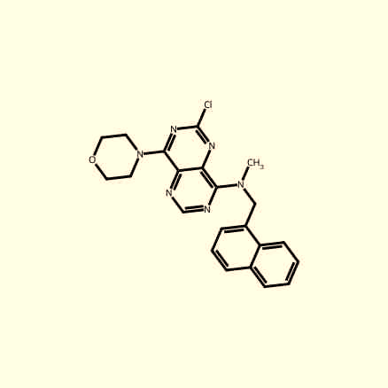 CN(Cc1cccc2ccccc12)c1ncnc2c(N3CCOCC3)nc(Cl)nc12